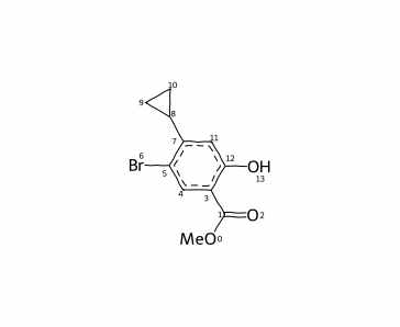 COC(=O)c1cc(Br)c(C2CC2)cc1O